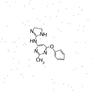 Cc1nc(NC2=NCCN2)cc(Oc2ccccc2)n1